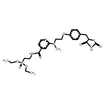 CCOP(=O)(CCNC(=O)c1ccnc(N(C)CCOc2ccc(CC3SC(=O)NC3=O)cc2)c1)OCC